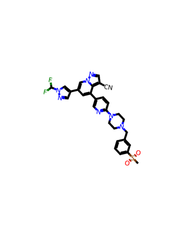 CS(=O)(=O)c1cccc(CN2CCN(c3ccc(-c4cc(-c5cnn(C(F)F)c5)cn5ncc(C#N)c45)cn3)CC2)c1